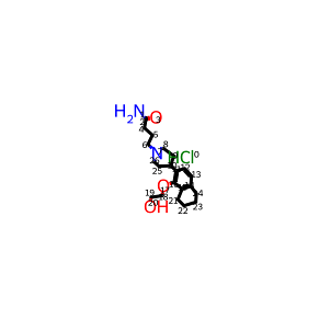 Cl.NC(=O)CCCN1CCC(c2ccc3c(c2OCCO)CCCC3)CC1